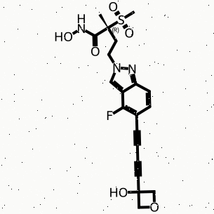 C[C@@](CCn1cc2c(F)c(C#CC#CC3(O)COC3)ccc2n1)(C(=O)NO)S(C)(=O)=O